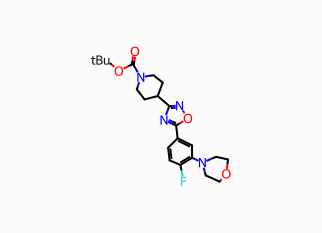 CC(C)(C)OC(=O)N1CCC(c2noc(-c3ccc(F)c(N4CCOCC4)c3)n2)CC1